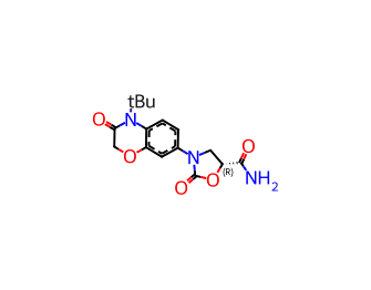 CC(C)(C)N1C(=O)COc2cc(N3C[C@H](C(N)=O)OC3=O)ccc21